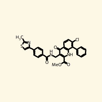 COC(=O)c1[nH]c2c(-c3ccccc3)c(Cl)ccc2c(=O)c1CNC(=O)c1ccc(-c2csc(C)n2)cc1